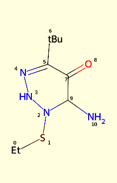 CCSN1NN=C(C(C)(C)C)C(=O)C1N